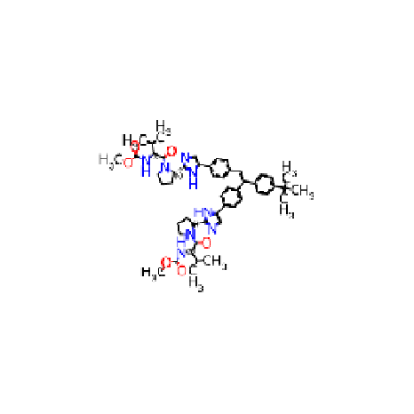 COC(=O)N[C@H](C(=O)N1CCC[C@H]1c1ncc(-c2ccc(C=C(c3ccc(-c4cnc([C@@H]5CCCN5C(=O)[C@@H](NC(=O)OC)C(C)C)[nH]4)cc3)c3ccc(C(C)(C)C)cc3)cc2)[nH]1)C(C)C